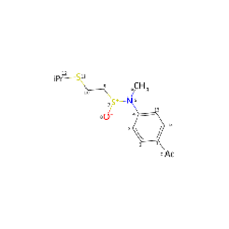 CC(=O)c1ccc(N(C)[S+]([O-])CCSC(C)C)cc1